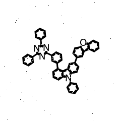 c1ccc(-c2nc(-c3ccccc3)nc(-c3cccc(-c4cccc5c4c4cc(-c6ccc7oc8ccccc8c7c6)ccc4n5-c4ccccc4)c3)n2)cc1